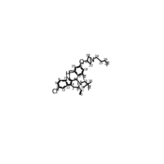 C=C[C@H]1Cc2c([nH]c3ccc(Cl)cc23)[C@H](c2c(F)cc(OC3CN(CCCF)C3)cc2F)N1CC(C)(C)F